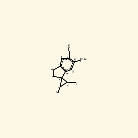 CC1C(C)C12CCc1cc(F)c(F)cc12